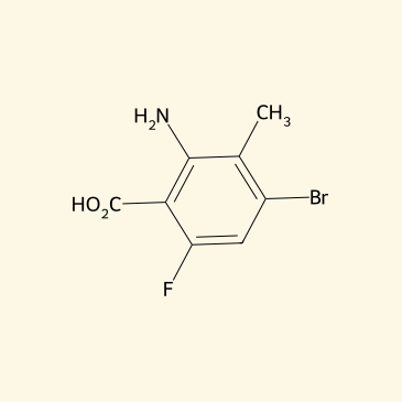 Cc1c(Br)cc(F)c(C(=O)O)c1N